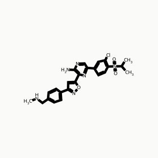 CNCc1ccc(-c2cc(-c3nc(-c4ccc(S(=O)(=O)C(C)C)c(Cl)c4)cnc3N)on2)cc1